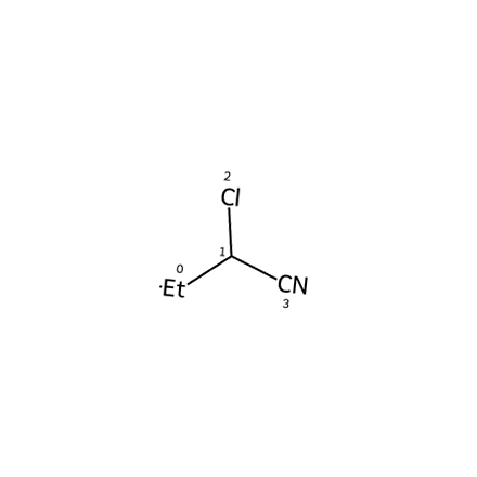 C[CH]C(Cl)C#N